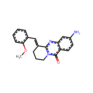 COc1ccccc1C=C1CCCn2c1nc1cc(N)ccc1c2=O